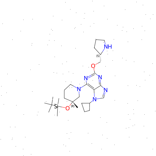 CC(C)(C)[Si](C)(C)O[C@]1(C)CCCN(c2nc(OC[C@@H]3CCCN3)nc3ncn(C4CCC4)c23)C1